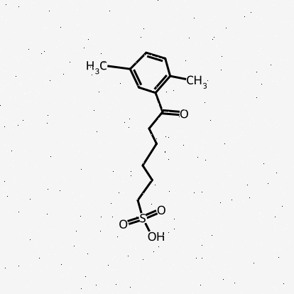 Cc1ccc(C)c(C(=O)CCCCCS(=O)(=O)O)c1